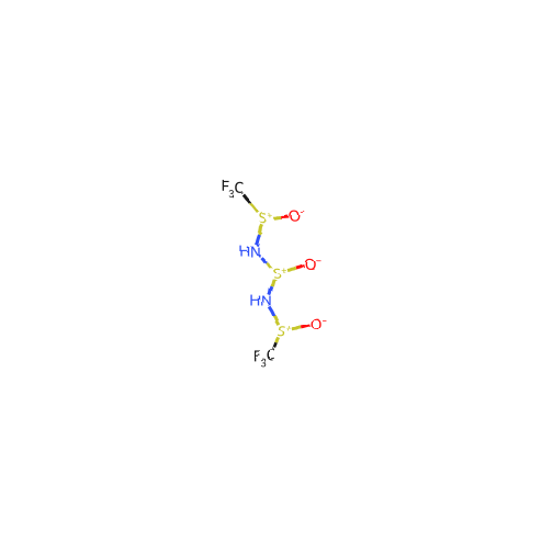 [O-][S+](N[S+]([O-])C(F)(F)F)N[S+]([O-])C(F)(F)F